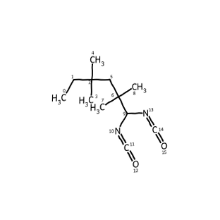 CCC(C)(C)CC(C)(C)C(N=C=O)N=C=O